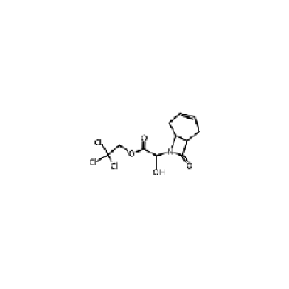 O=C(OCC(Cl)(Cl)Cl)C(O)N1C(=O)C2CC=CCC21